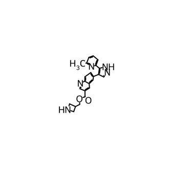 Cc1cccc(-c2[nH]ncc2-c2ccc3ncc(C(=O)OCC4CNC4)cc3c2)n1